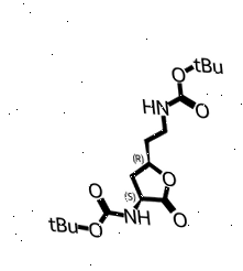 CC(C)(C)OC(=O)NCC[C@@H]1C[C@H](NC(=O)OC(C)(C)C)C(=O)O1